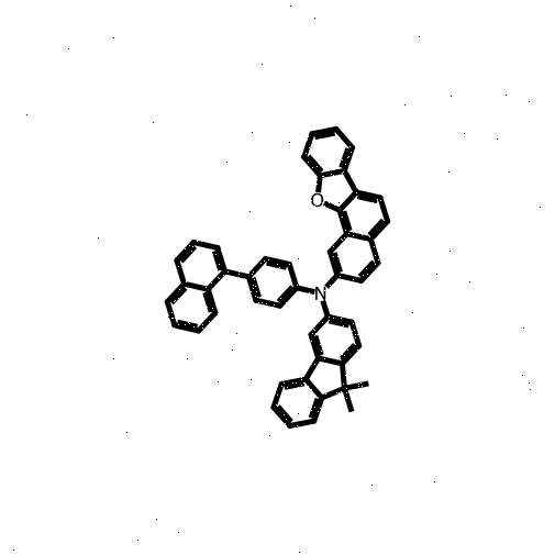 CC1(C)c2ccccc2-c2cc(N(c3ccc(-c4cccc5ccccc45)cc3)c3ccc4ccc5c6ccccc6oc5c4c3)ccc21